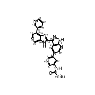 CCCCC(=O)Nc1cncc(-c2cnc3[nH]nc(-c4nc5c(-c6cccnc6)cncc5[nH]4)c3c2)c1